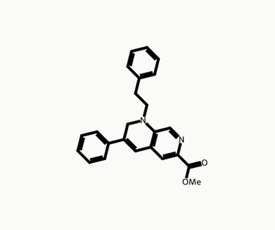 COC(=O)c1cc2c(cn1)N(CCc1ccccc1)CC(c1ccccc1)=C2